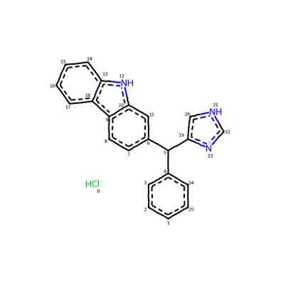 Cl.c1ccc(C(c2ccc3c(c2)[nH]c2ccccc23)c2c[nH]cn2)cc1